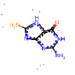 Nc1nc2nc(P)[nH]c2c(=O)[nH]1